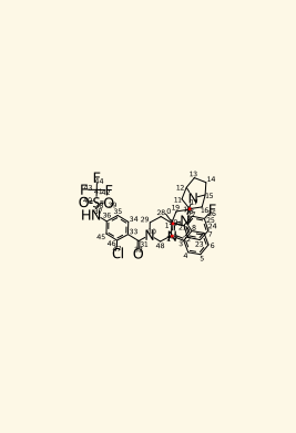 Cc1nc2ccccc2n1C1CC2CCC(C1)N2CCC1(c2cccc(F)c2)CCN(C(=O)c2ccc(NS(=O)(=O)C(F)(F)F)cc2Cl)CC1